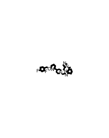 CCn1cncc1Cn1c(CN2CCC(c3cccc(OCc4ccc(F)cc4F)n3)CC2)nc2ccccc21